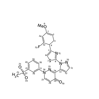 COC1=CCC(c2csc(-n3nccc3-c3nn(-c4cccc(S(C)(=O)=O)c4)ccc3=O)n2)C(F)=C1